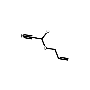 C=CCOC([O])C#N